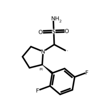 [CH2]C(N1CCC[C@@H]1c1cc(F)ccc1F)S(N)(=O)=O